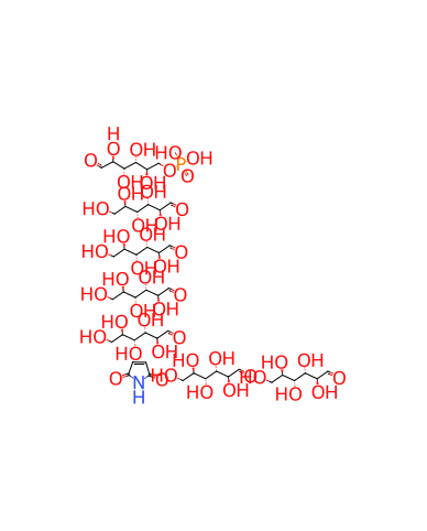 O=C1C=CC(=O)N1.O=C[C@@H](O)[C@@H](O)[C@H](O)[C@H](O)CO.O=C[C@@H](O)[C@@H](O)[C@H](O)[C@H](O)CO.O=C[C@@H](O)[C@@H](O)[C@H](O)[C@H](O)CO.O=C[C@@H](O)[C@@H](O)[C@H](O)[C@H](O)CO.O=C[C@@H](O)[C@@H](O)[C@H](O)[C@H](O)CO.O=C[C@@H](O)[C@@H](O)[C@H](O)[C@H](O)CO.O=C[C@@H](O)[C@@H](O)[C@H](O)[C@H](O)COP(=O)(O)O